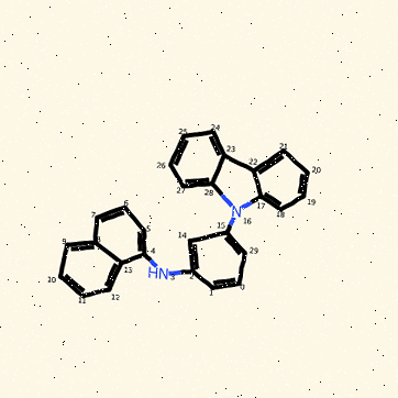 c1cc(Nc2cccc3ccccc23)cc(-n2c3ccccc3c3ccccc32)c1